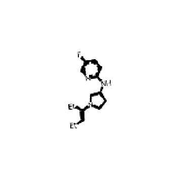 CC/C=C(\CC)N1CC[C@H](Nc2ccc(F)cn2)C1